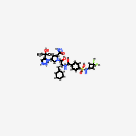 CC(C)(O)c1cnnn1[C@H]1C[C@@H](C(N)=O)N(C(=O)[C@@H](CC2CCCCC2)NC(=O)c2ccc(S(=O)(=O)NC3CC(F)(F)C3)cc2)C1